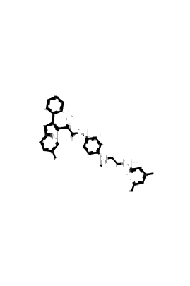 Cc1cc(C)nc(NCCN(C)c2ccc(NC(=O)C(=O)c3c(-c4ccccc4)cc4ccc(C)cn34)cc2)c1